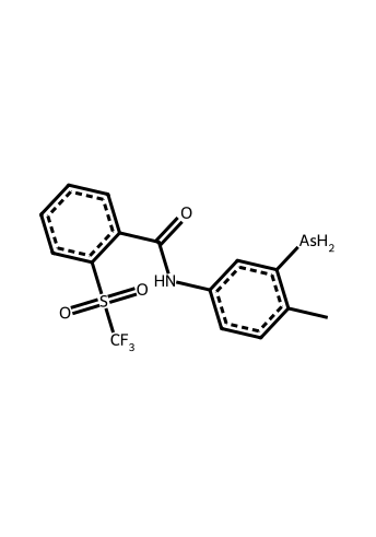 Cc1ccc(NC(=O)c2ccccc2S(=O)(=O)C(F)(F)F)cc1[AsH2]